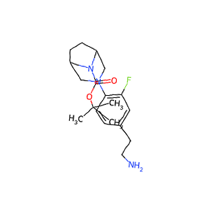 CC(C)(C)OC(=O)N1C2CCC1CN(c1ccc(CCN)cc1F)C2